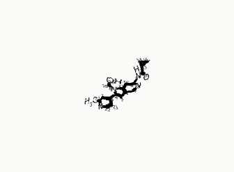 Cc1cc(-c2cc3cnc(NC(=O)C4CC4)cc3n2CO)ccn1